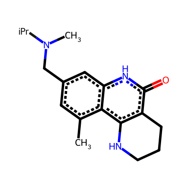 Cc1cc(CN(C)C(C)C)cc2[nH]c(=O)c3c(c12)NCCC3